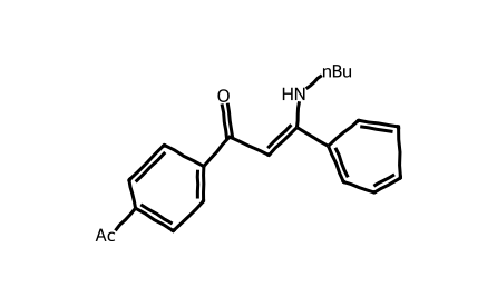 CCCCN/C(=C\C(=O)c1ccc(C(C)=O)cc1)c1ccccc1